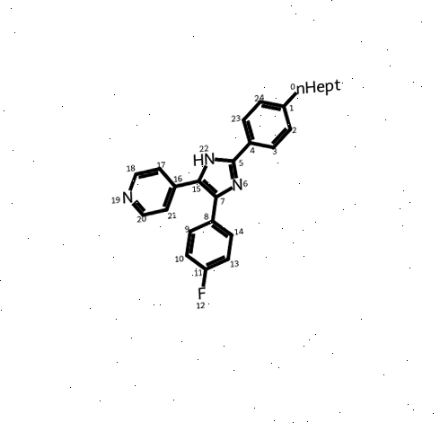 CCCCCCCc1ccc(-c2nc(-c3ccc(F)cc3)c(-c3ccncc3)[nH]2)cc1